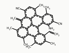 C=Cc1c(C)cc(C)c2c3c(C)cc(C)c4c(=C)c5c(C#N)cc(C)c6c7c(C)cc(C#N)c(N)c7c(c12)c(c56)c43